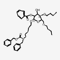 CCCCOCC1O[C@@H](OCCCCCN(Cc2ccccc2)C(=O)OCc2ccccc2)C(OC(=O)c2ccccc2)C(O)[C@H]1OCCCC